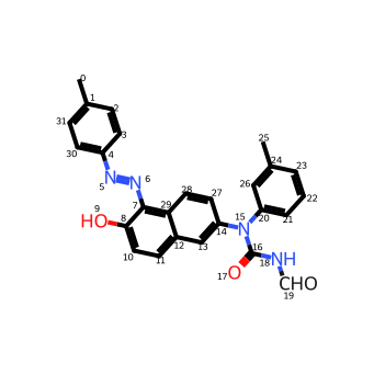 Cc1ccc(N=Nc2c(O)ccc3cc(N(C(=O)NC=O)c4cccc(C)c4)ccc23)cc1